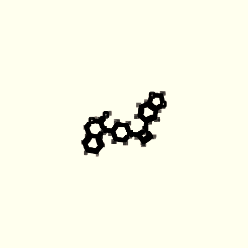 O=C1OCc2ccccc2N1C1CCN(C2C=CN2c2ccc3c(c2)OCO3)CC1